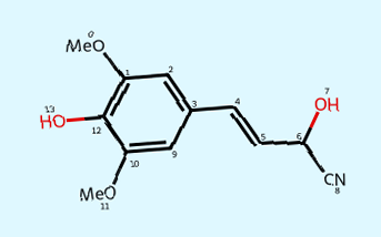 COc1cc(C=CC(O)C#N)cc(OC)c1O